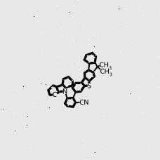 CC1(C)c2ccccc2-c2cc3c(cc21)sc1cc(-c2c(C#N)cccc2-n2c4ccccc4c4ccccc42)ccc13